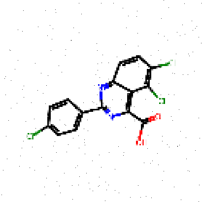 O=C(O)c1nc(-c2ccc(Cl)cc2)nc2ccc(Cl)c(Cl)c12